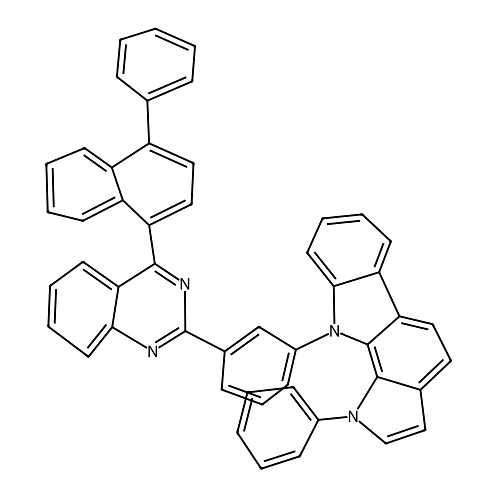 c1ccc(-c2ccc(-c3nc(-c4cccc(-n5c6ccccc6c6ccc7ccn(-c8ccccc8)c7c65)c4)nc4ccccc34)c3ccccc23)cc1